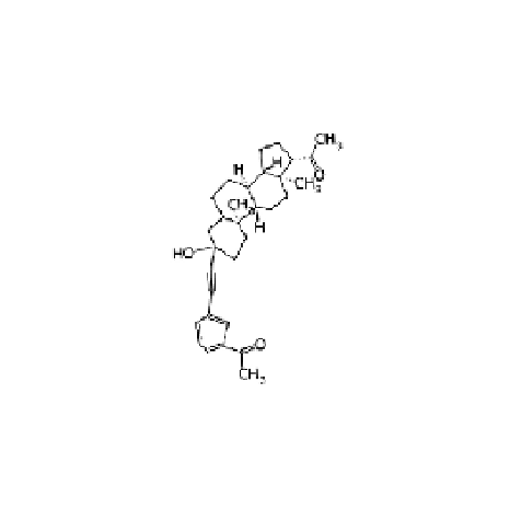 CC(=O)c1cccc(C#CC2(O)CC[C@@]3(C)C(CC[C@H]4[C@@H]5CC[C@H](C(C)=O)[C@@]5(C)CC[C@@H]43)C2)c1